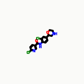 O=C(Nc1ccc(C2CNCCO2)cc1Cl)c1ccc(Cl)nc1